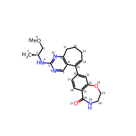 COC[C@H](C)Nc1ncc2c(n1)CCCC=C2c1ccc2c(c1)OCCNC2=O